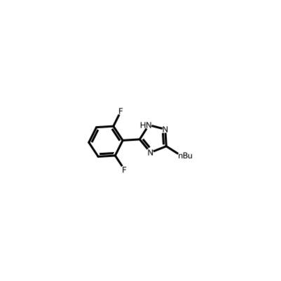 CCCCc1n[nH]c(-c2c(F)cccc2F)n1